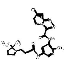 Cc1ncc(NC(=O)CCN2CCCC2(C)C)cc1NC(=O)c1nnc2cc(Cl)ccn12